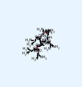 CCC(COCC(O)CN(CC(=O)NCCN(CCN)CCN)CC(=O)NCCN(CCN)CCN)(COCC(O)CN(CC(=O)NCCN(CCN)CCN)CC(=O)NCCN(CCN)CCN)COCC(O)CN(CC(=O)NCCN(CCN)CCN)CC(=O)NCN(CCN)CCN